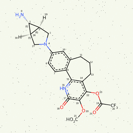 N[C@@H]1[C@H]2CN(c3ccc4c(c3)CCCc3c-4[nH]c(=O)c(OC(=O)O)c3OC(=O)C(F)(F)F)C[C@@H]12